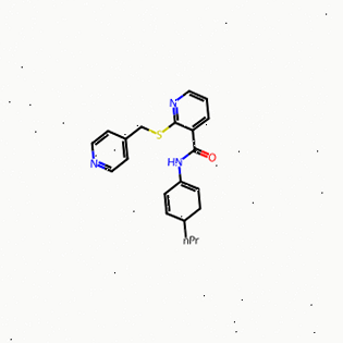 CCCC1C=CC(NC(=O)c2cccnc2SCc2ccncc2)=CC1